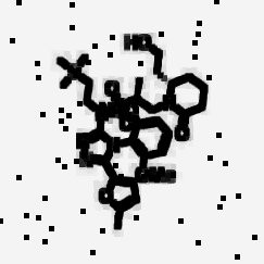 COc1cccc(OC)c1-n1c(-c2ccc(C)o2)nnc1N(CC[Si](C)(C)C)S(=O)(=O)[C@@H](C)CN1C(=O)CCC[C@H]1CCO